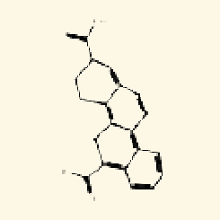 O=C(O)C1=c2ccccc2=c2ccc3c(c2C1)CCC(C(=O)O)C=3